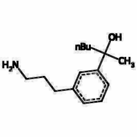 CCCCC(C)(O)c1cccc(CCCN)c1